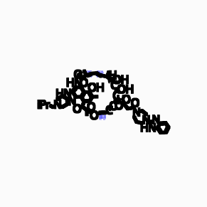 C/C1=C/C=C/C(C)[C@H](O)CC(O)C[C@H](OC(=O)CC(=O)N2CCCN(c3nc4ccccc4[nH]3)CC2)CC/C=C/OC2(C)Oc3c(C)c(O)c4c(c3C2=O)C2=NC3(CCN(CC(C)C)CC3)NC2=C(NC1=O)C4=O